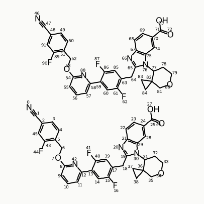 N#Cc1ccc(COc2cccc(-c3cc(F)c(Cc4nc5ccc(C(=O)O)cc5n4C4CCOCC45CC5)cc3F)n2)c(F)c1.N#Cc1ccc(COc2cccc(-c3cc(F)c(Cc4nc5ccc(C(=O)O)cc5n4C4CCOCC45CC5)cc3F)n2)c(F)c1